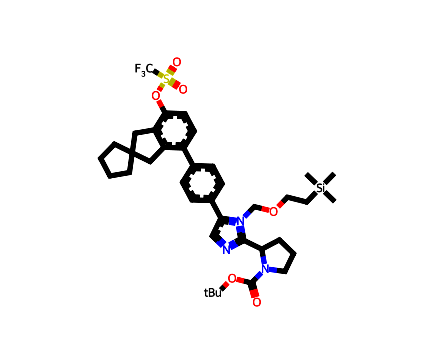 CC(C)(C)OC(=O)N1CCCC1c1ncc(-c2ccc(-c3ccc(OS(=O)(=O)C(F)(F)F)c4c3CC3(CCCC3)C4)cc2)n1COCC[Si](C)(C)C